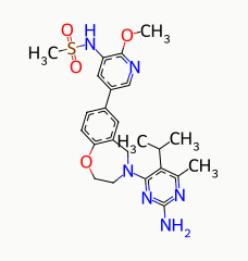 COc1ncc(-c2ccc3c(c2)CN(c2nc(N)nc(C)c2C(C)C)CCO3)cc1NS(C)(=O)=O